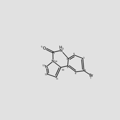 O=c1[nH]c2ccc(Br)cc2c2ccnn12